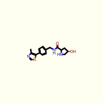 Cc1ncsc1-c1ccc(CNC(=O)C2C[C@@H](O)CN2)cc1